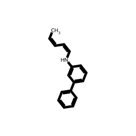 C/C=C\C=C/Nc1cccc(-c2ccccc2)c1